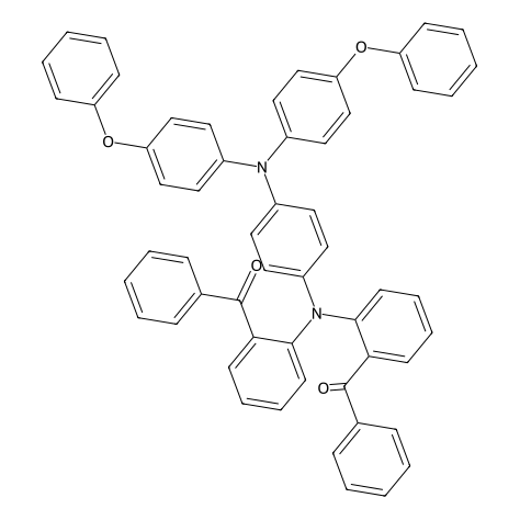 O=C(c1ccccc1)c1ccccc1N(c1ccc(N(c2ccc(Oc3ccccc3)cc2)c2ccc(Oc3ccccc3)cc2)cc1)c1ccccc1C(=O)c1ccccc1